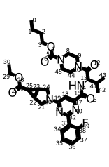 CCCCOC(=O)N1CCN(C(=O)[C@@H](NC(=O)c2cc(N3CC4C(C3)C4C(=O)OCC)nc(-c3ccccc3F)n2)C(C)C)CC1